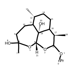 CCCOC1O[C@@H]2OC(C)(O)CCC3[C@H](C)CCC([C@H]1C)[C@]32O